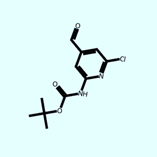 CC(C)(C)OC(=O)Nc1cc(C=O)cc(Cl)n1